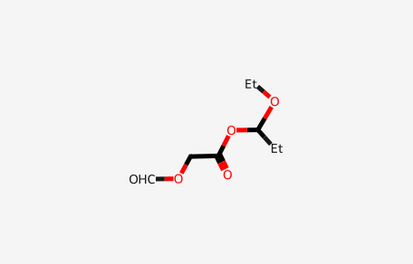 CCOC(CC)OC(=O)COC=O